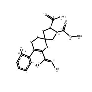 COC(=O)[C@@H]1CC2(CCC(c3ccccc3C)=C(/C(C)=N/O)O2)CN1C(=O)OC(C)(C)C